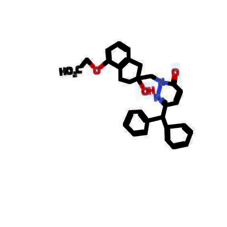 O=C(O)COc1cccc2c1CCC(O)(Cn1nc(C(c3ccccc3)c3ccccc3)ccc1=O)C2